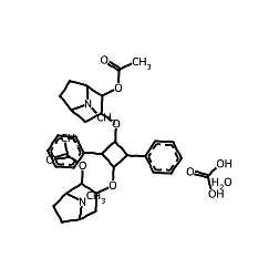 CC(=O)OC1C(OC2C(c3ccccc3)C(OC3CC4CCC(C3OC(C)=O)N4C)C2c2ccccc2)CC2CCC1N2C.O.O=C(O)O